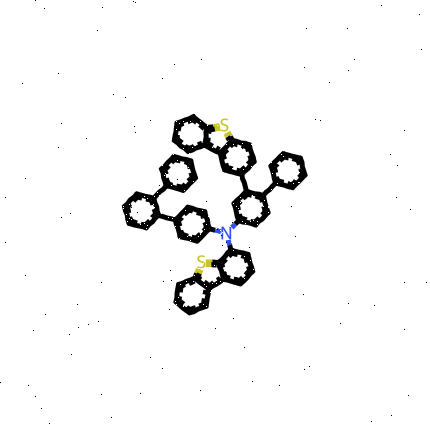 c1ccc(-c2ccccc2-c2ccc(N(c3ccc(-c4ccccc4)c(-c4ccc5sc6ccccc6c5c4)c3)c3cccc4c3sc3ccccc34)cc2)cc1